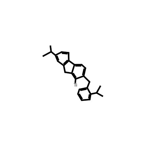 CC(C)c1ccc2c(c1)Cc1c-2ccc(Cc2ccccc2C(C)C)[c]1[Ti]